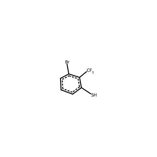 FC(F)(F)c1c(S)cccc1Br